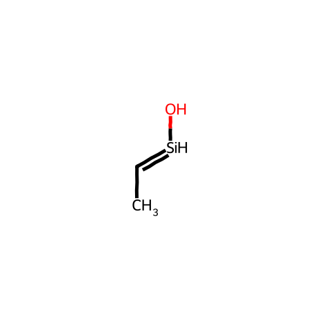 CC=[SiH]O